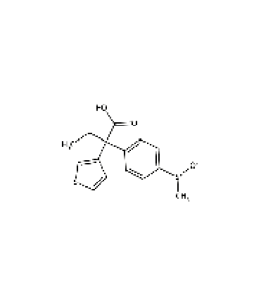 CCC(C(=O)O)(c1ccc([S+](C)[O-])cc1)c1ccsc1